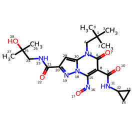 CC(C)(C)Cn1c(=O)c(C(=O)NC2CC2)c(N=O)n2nc(C(=O)NCC(C)(C)O)cc12